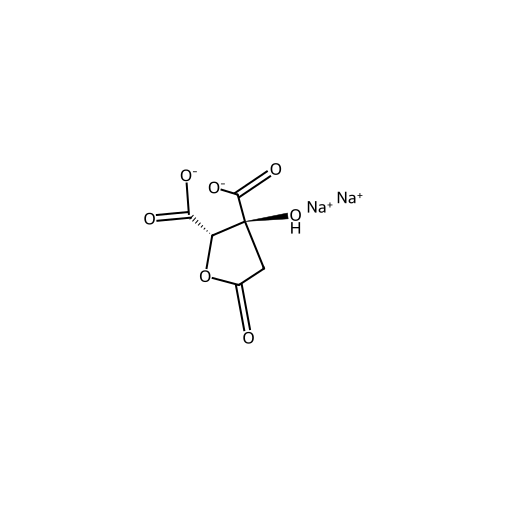 O=C1C[C@@](O)(C(=O)[O-])[C@@H](C(=O)[O-])O1.[Na+].[Na+]